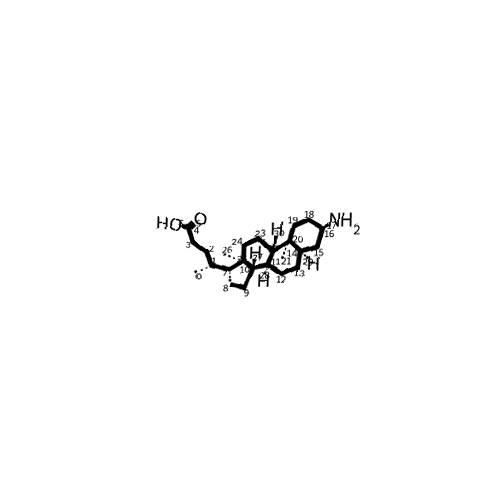 C[C@H](CCC(=O)O)[C@H]1CC[C@H]2[C@@H]3CC[C@@H]4C[C@H](N)CC[C@]4(C)[C@H]3CC[C@]12C